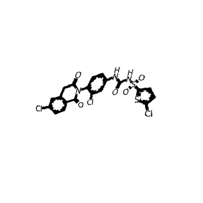 O=C(Nc1ccc(N2C(=O)Cc3cc(Cl)ccc3C2=O)c(Cl)c1)NS(=O)(=O)c1ccc(Cl)s1